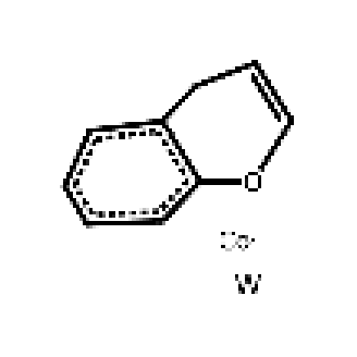 C1=COc2ccccc2C1.[Co].[W]